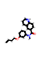 C=CCCOc1cccc(N(C)C(=O)c2ccc3ncccc3c2)c1